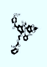 COc1ccccc1Oc1c(NS(=O)(=O)c2ccc3c(c2)OCO3)cc(C(=O)N2CCN(C(=O)O)CC2)cc1OCCOC(=O)Nc1ccccn1